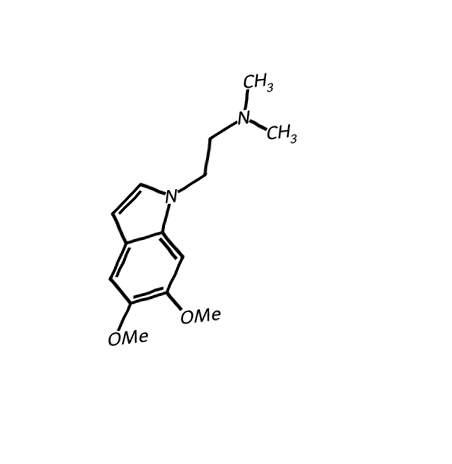 COc1cc2ccn(CCN(C)C)c2cc1OC